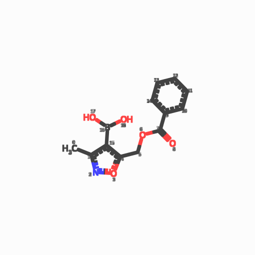 Cc1noc(COC(=O)c2ccccc2)c1B(O)O